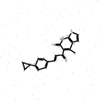 Cc1c(C(=O)C=Cc2ccc(C3CC3)cc2)c(=O)[nH]c2sccc12